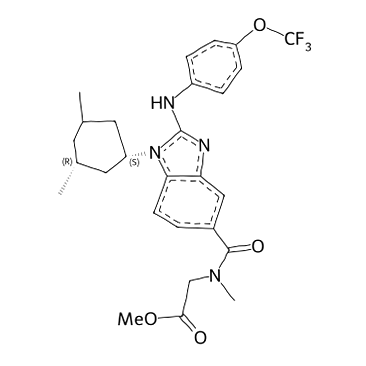 COC(=O)CN(C)C(=O)c1ccc2c(c1)nc(Nc1ccc(OC(F)(F)F)cc1)n2[C@H]1CC(C)C[C@@H](C)C1